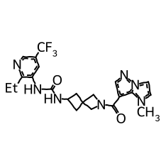 CCc1ncc(C(F)(F)F)cc1NC(=O)NC1CC2(C1)CN(C(=O)c1cnn3ccn(C)c13)C2